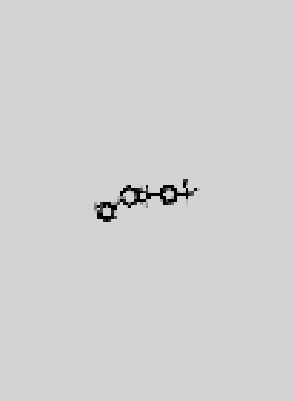 FC(F)(F)c1ccc(-c2nc3c(o2)CCN(c2cnccn2)C3)cc1